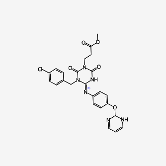 COC(=O)CCn1c(=O)[nH]/c(=N\c2ccc(OC3N=CC=CN3)cc2)n(Cc2ccc(Cl)cc2)c1=O